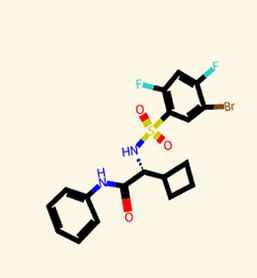 O=C(Nc1ccccc1)[C@H](NS(=O)(=O)c1cc(Br)c(F)cc1F)C1CCC1